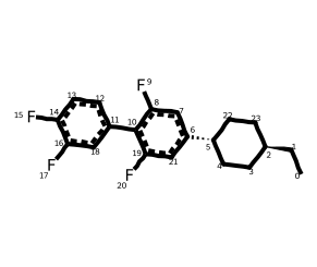 CC[C@H]1CC[C@H](c2cc(F)c(-c3ccc(F)c(F)c3)c(F)c2)CC1